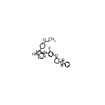 C=CC(=O)N1CCC(c2n[nH]c3ncnc(Nc4ccc(O[C@H]5CCCN(S(=O)(=O)c6ccccc6)C5)cc4F)c23)CC1